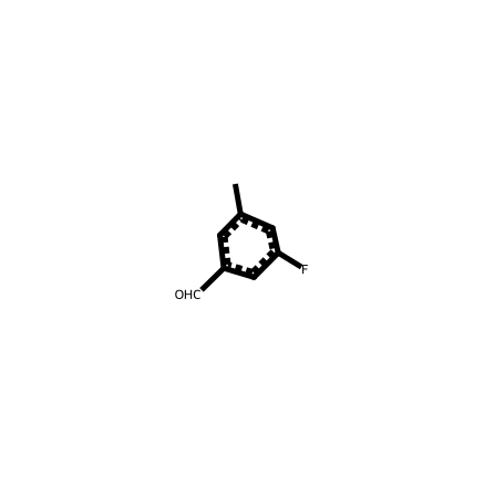 Cc1cc(F)cc(C=O)c1